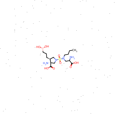 CCCCN(CC(N)C(=O)O)S(=O)(=O)N1C[C@H](CCCB(O)O)[C@](N)(C(=O)O)C1